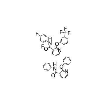 O=C(Nc1ccc(F)cc1F)c1cccnc1Oc1cccc(C(F)(F)F)c1.O=C(Nc1ccccc1)c1cccnc1Oc1ccccc1